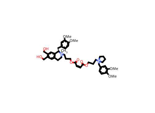 COc1ccc(C[C@@H]2c3cc(CO)c(CO)cc3CC[N@@+]2(C)CCCOC(=O)/C=C\C(=O)OCCC[N+]2(Cc3ccc(OC)c(OC)c3)CCCC2)cc1OC